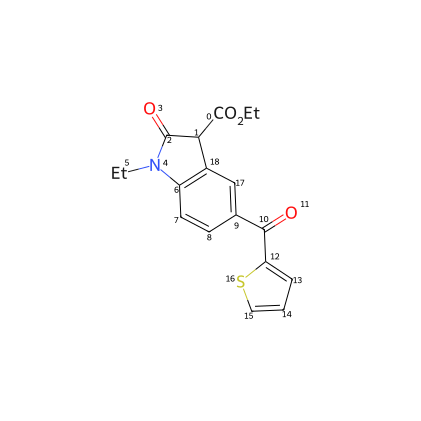 CCOC(=O)C1C(=O)N(CC)c2ccc(C(=O)c3cccs3)cc21